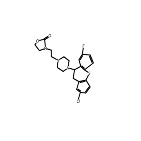 O=C1OCCN1CCN1CCN(C2Cc3cc(Cl)ccc3Sc3ccc(F)cc32)CC1